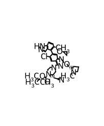 Cc1ccc2[nH]ncc2c1-c1c(Cl)cc2c(N3CCN(C(=O)OC(C)(C)C)[C@@H](CC#N)C3)nc(OC[C@@H]3CCCN3C)nc2c1OC1CC1